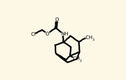 CC1CC2(NC(=O)OCCl)CC3CCC1C(C)(C3)C2